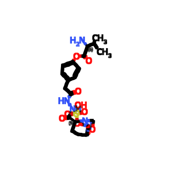 CC(C)[C@H](N)C(=O)Oc1ccc(CC(=O)NNC(=O)[C@@H]2CCC34CN2C(O3)N4OS(=O)(=O)O)cc1